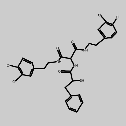 O=C(NC(C(=O)NCCc1ccc(Cl)c(Cl)c1)C(=O)NCCc1ccc(Cl)c(Cl)c1)C(S)Cc1ccccc1